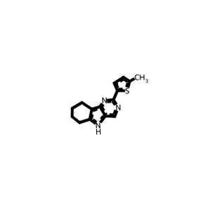 Cc1ccc(-c2ncc3[nH]c4c(c3n2)CCCC4)s1